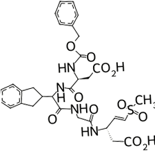 CS(=O)(=O)/C=C/[C@H](CC(=O)O)NC(=O)CNC(=O)C(NC(=O)[C@H](CC(=O)O)NC(=O)OCc1ccccc1)C1Cc2ccccc2C1